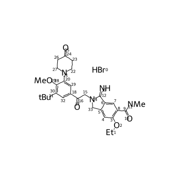 Br.CCOc1cc2c(cc1C(=O)NC)C(=N)N(CC(=O)c1cc(N3CCC(=O)CC3)c(OC)c(C(C)(C)C)c1)C2